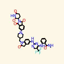 CNC(=O)c1ccccc1Nc1nc(Nc2ccc3c(c2)CC(=O)N3CC2CCN(c3ccc4c(c3)C(=O)N(C3CCC(=O)NC3=O)C4=O)CC2)ncc1C(F)(F)F